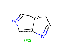 C1=NC=C2N=CC=C12.Cl